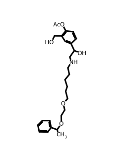 CC(=O)Oc1ccc(C(O)CNCCCCCCOCCOC(C)c2ccccc2)cc1CO